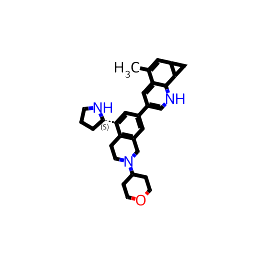 CC1=CC2CC2C2NC=C(c3cc4c(c([C@@H]5CCCN5)c3)CCN(C3CCOCC3)C4)C=C12